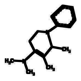 CC1=C(N(C)C)CCN(c2ccccc2)C1C